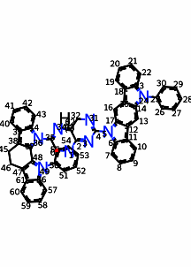 C1=NC2=NC(n3c4ccccc4c4cc5c(cc43)c3ccccc3n5-c3ccccc3)=NC[C@@H]2N=C1n1c2c(c3ccccc31)CCc1c-2n(-c2ccccc2)c2ccccc12